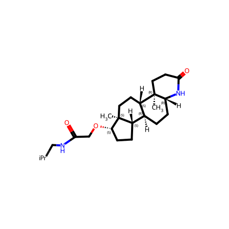 CC(C)CNC(=O)CO[C@H]1CC[C@H]2[C@@H]3CC[C@H]4NC(=O)CC[C@]4(C)[C@H]3CC[C@]12C